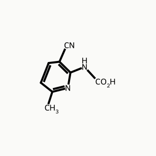 Cc1ccc(C#N)c(NC(=O)O)n1